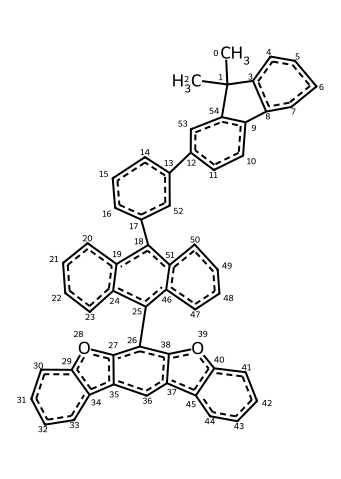 CC1(C)c2ccccc2-c2ccc(-c3cccc(-c4c5ccccc5c(-c5c6oc7ccccc7c6cc6c5oc5ccccc56)c5ccccc45)c3)cc21